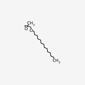 CCCCCCCCCCCCCCOCC1(C)CO1